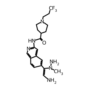 CN(N)/C(=C\N)c1ccc2cnc(NC(=O)C3CCN(CCC(F)(F)F)CC3)cc2c1